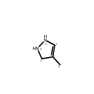 CC1=CNNC1